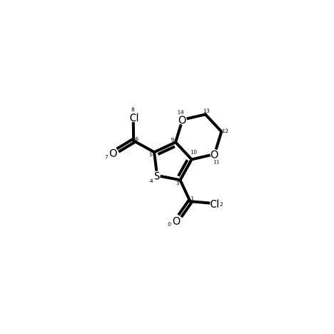 O=C(Cl)c1sc(C(=O)Cl)c2c1OCCO2